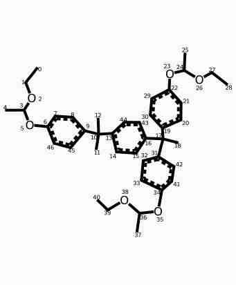 CCOC(C)Oc1ccc(C(C)(C)c2ccc(C(C)(c3ccc(OC(C)OCC)cc3)c3ccc(OC(C)OCC)cc3)cc2)cc1